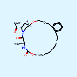 COC(=O)[C@@H]1C[C@@H]2CN1C(=O)[C@H](C(C)(C)C)NC(=O)OCCCCCCCc1ccccc1CCCO2